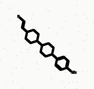 CCCCc1ccc(C2CCC(C3CCC(C=CF)CC3)CC2)cc1